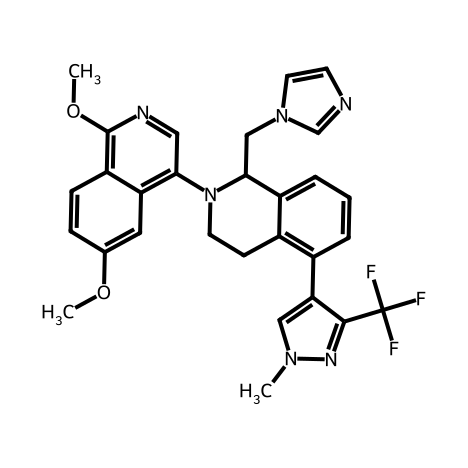 COc1ccc2c(OC)ncc(N3CCc4c(-c5cn(C)nc5C(F)(F)F)cccc4C3Cn3ccnc3)c2c1